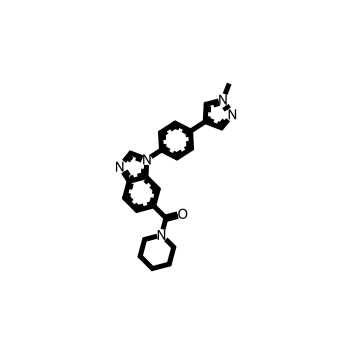 Cn1cc(-c2ccc(-n3cnc4ccc(C(=O)N5CCCCC5)cc43)cc2)cn1